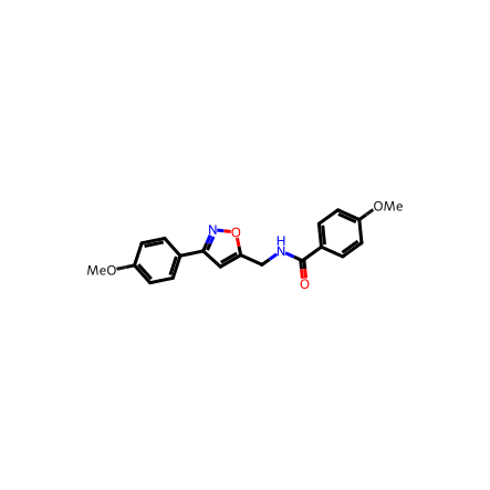 COc1ccc(C(=O)NCc2cc(-c3ccc(OC)cc3)no2)cc1